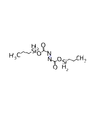 CCC[SiH2]OC(=O)/N=N/C(=O)O[SiH2]CCC